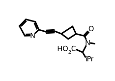 CC(C)C(C(=O)O)N(C)C(=O)C1CC(C#Cc2ccccn2)C1